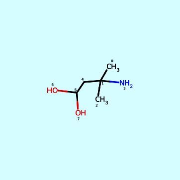 CC(C)(N)CC(O)O